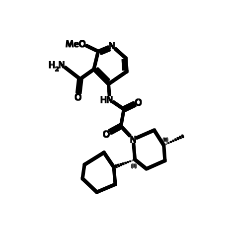 COc1nccc(NC(=O)C(=O)N2C[C@H](C)CC[C@@H]2C2CCCCC2)c1C(N)=O